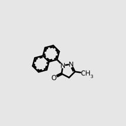 CC1=NN(c2cccc3ccccc23)C(=O)C1